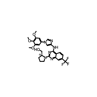 COc1cc(-n2cnc(Nc3nc(N4CCC[C@H]4CO)nc4cc(C(F)(F)F)ccc34)c2)cc(OC)c1OC